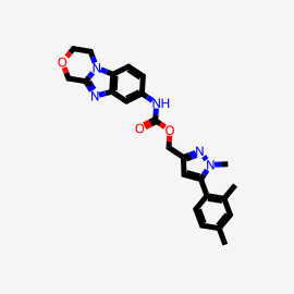 Cc1ccc(-c2cc(COC(=O)Nc3ccc4c(c3)nc3n4CCOC3)nn2C)c(C)c1